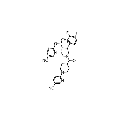 C[C@H](Oc1ccc(C#N)cn1)[C@H]1CCN(C(=O)C2CCN(c3ccc(C#N)cn3)CC2)C[C@@H]1c1ccc(F)c(F)c1